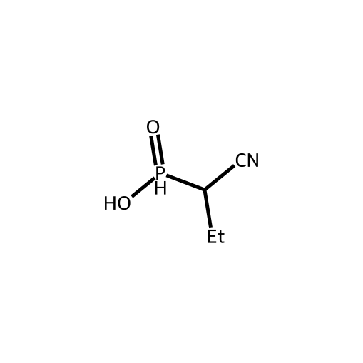 CCC(C#N)[PH](=O)O